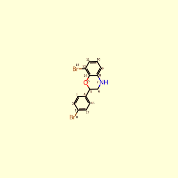 Brc1ccc(C2CNc3cccc(Br)c3O2)cc1